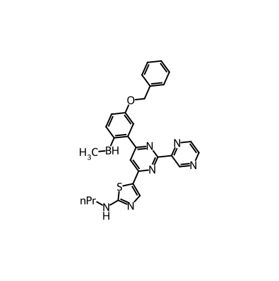 CBc1ccc(OCc2ccccc2)cc1-c1cc(-c2cnc(NCCC)s2)nc(-c2cnccn2)n1